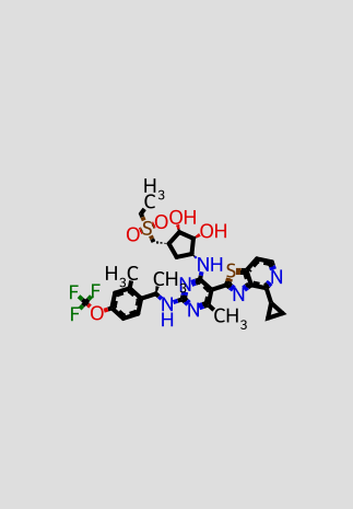 CCS(=O)(=O)C[C@H]1C[C@@H](Nc2nc(N[C@H](C)c3ccc(OC(F)(F)F)cc3C)nc(C)c2-c2nc3c(C4CC4)nccc3s2)[C@H](O)[C@@H]1O